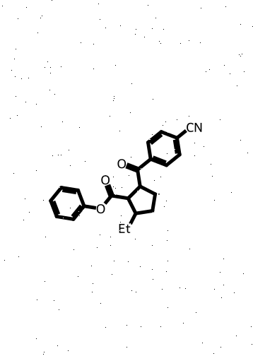 [CH2]CC1C[CH]C(C(=O)c2ccc(C#N)cc2)C1C(=O)Oc1ccccc1